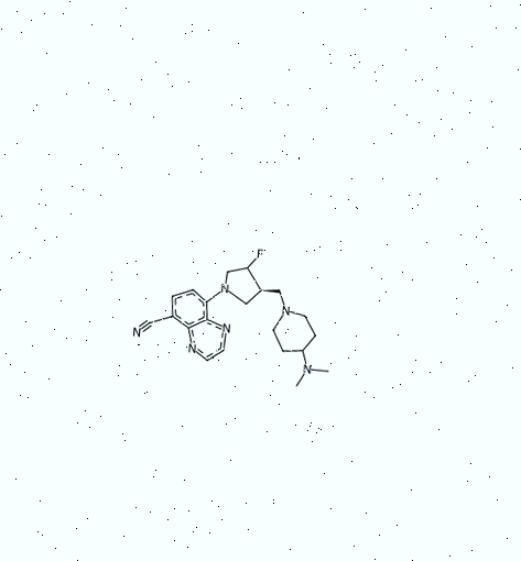 CN(C)C1CCN(C[C@H]2CN(c3ccc(C#N)c4nccnc34)CC2F)CC1